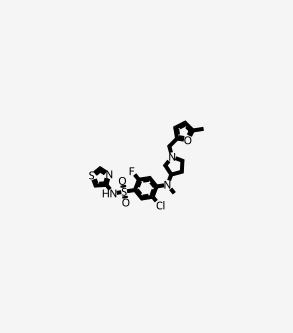 Cc1ccc(CN2CCC(N(C)c3cc(F)c(S(=O)(=O)Nc4cscn4)cc3Cl)C2)o1